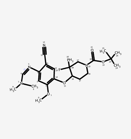 COc1cc(/N=C\N(C)C)c(C#N)cc1OC1CCN(C(=O)OC(C)(C)C)CC1(F)P